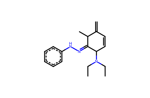 C=C1C=CC(N(CC)CC)C(=NNc2ccccc2)C1C